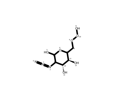 [N-]=[N+]=NC1C(O)OC(COOO)[C@@H](O)[C@@H]1O